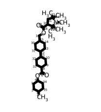 CC1CCC(OC(=O)C2CCC(C3CCC(COC(=O)C4CC(C)(C)N(C)C4(C)C)CC3)CC2)CC1